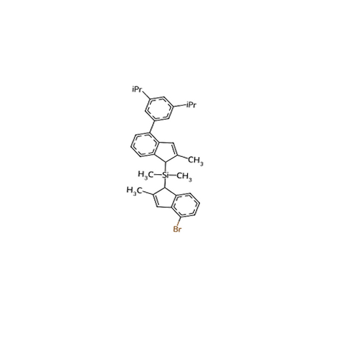 CC1=Cc2c(Br)cccc2C1[Si](C)(C)C1C(C)=Cc2c(-c3cc(C(C)C)cc(C(C)C)c3)cccc21